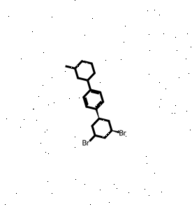 CC1CCCC(c2ccc([C@@H]3CC(Br)C[C@H](Br)C3)cc2)C1